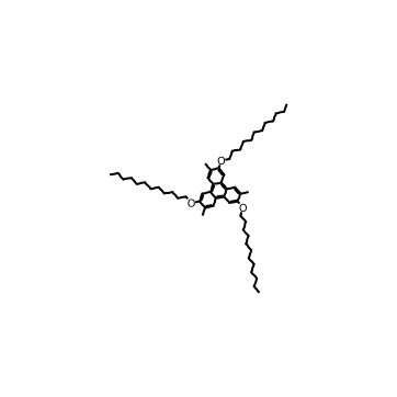 CCCCCCCCCCCCOc1cc2c(cc1C)c1cc(OCCCCCCCCCCCC)c(C)cc1c1cc(OCCCCCCCCCCCC)c(C)cc21